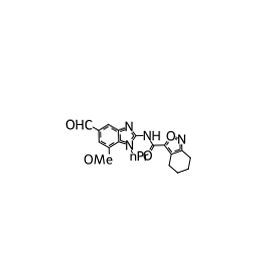 CCCn1c(NC(=O)c2onc3c2CCCC3)nc2cc(C=O)cc(OC)c21